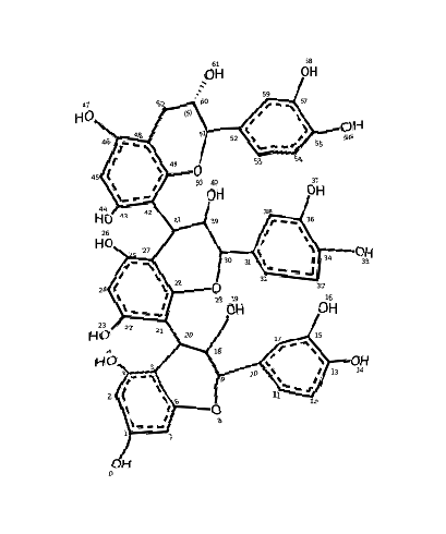 Oc1cc(O)c2c(c1)OC(c1ccc(O)c(O)c1)C(O)C2c1c(O)cc(O)c2c1OC(c1ccc(O)c(O)c1)C(O)C2c1c(O)cc(O)c2c1OC(c1ccc(O)c(O)c1)[C@@H](O)C2